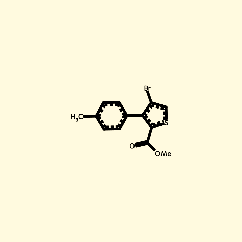 COC(=O)c1scc(Br)c1-c1ccc(C)cc1